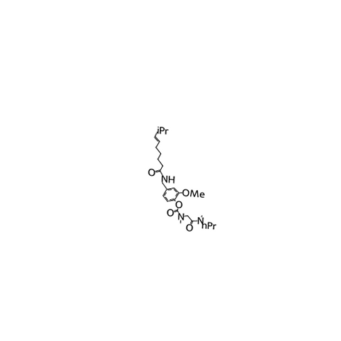 CCCN(C)C(=O)CN(C)C(=O)Oc1ccc(CNC(=O)CCCC/C=C/C(C)C)cc1OC